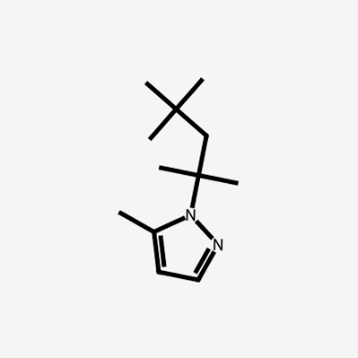 Cc1ccnn1C(C)(C)CC(C)(C)C